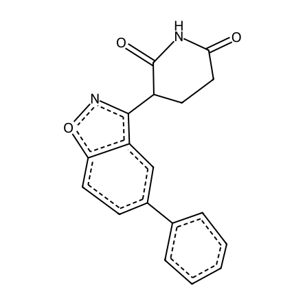 O=C1CCC(c2noc3ccc(-c4ccccc4)cc23)C(=O)N1